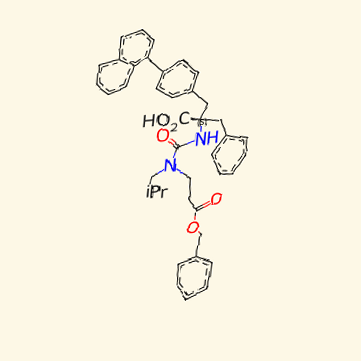 CC(C)CN(CCC(=O)OCc1ccccc1)C(=O)N[C@@](Cc1ccccc1)(Cc1ccc(-c2cccc3ccccc23)cc1)C(=O)O